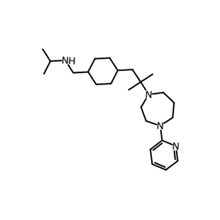 CC(C)NCC1CCC(CC(C)(C)N2CCCN(c3ccccn3)CC2)CC1